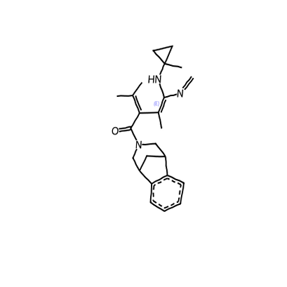 C=N/C(NC1(C)CC1)=C(\C)C(C(=O)N1CC2CC(C1)c1ccccc12)=C(C)C